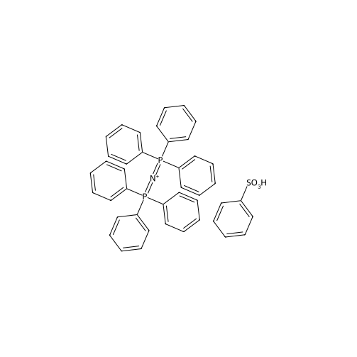 O=S(=O)(O)c1ccccc1.c1ccc(P(=[N+]=P(c2ccccc2)(c2ccccc2)c2ccccc2)(c2ccccc2)c2ccccc2)cc1